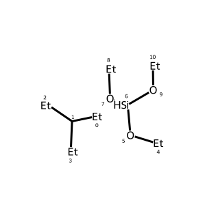 CCC(CC)CC.CCO[SiH](OCC)OCC